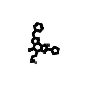 CCCN1C(=O)N2CC(Cc3ccccn3)N=C2c2[nH]c(C3CCCC3)nc21